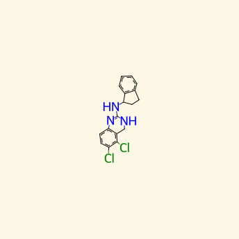 Clc1ccc2c(c1Cl)CNC(NC1CCc3ccccc31)=N2